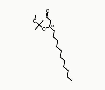 CCCCCCCCCCC[C@H](CC=O)OC(C)(C)OC